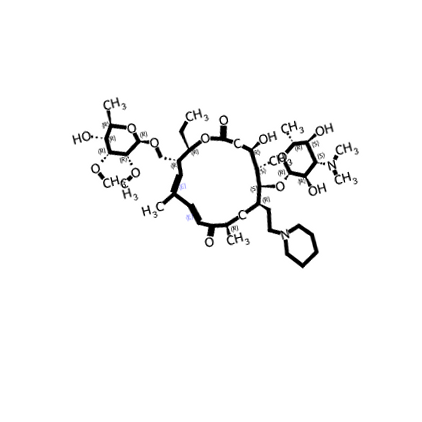 CC[C@H]1OC(=O)C[C@@H](O)[C@H](C)[C@@H](O[C@@H]2O[C@H](C)[C@@H](O)[C@H](N(C)C)[C@H]2O)[C@@H](CCN2CCCCC2)C[C@@H](C)C(=O)/C=C/C(C)=C/[C@@H]1CO[C@@H]1O[C@H](C)[C@@H](O)[C@@H](OC)[C@H]1OC